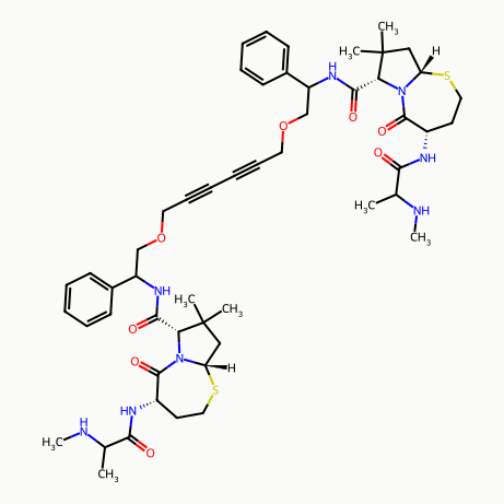 CNC(C)C(=O)N[C@H]1CCS[C@H]2CC(C)(C)[C@@H](C(=O)NC(COCC#CC#CCOCC(NC(=O)[C@H]3N4C(=O)[C@@H](NC(=O)C(C)NC)CCS[C@H]4CC3(C)C)c3ccccc3)c3ccccc3)N2C1=O